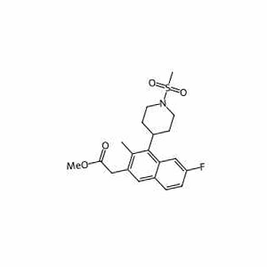 COC(=O)Cc1cc2ccc(F)cc2c(C2CCN(S(C)(=O)=O)CC2)c1C